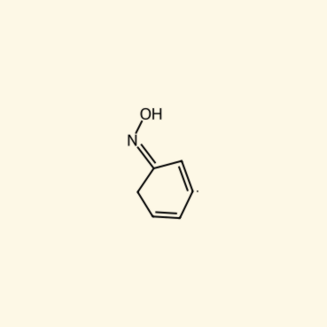 ON=C1C=[C]C=CC1